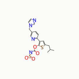 CC(C)Cc1cc(-c2ccc(Cn3ccnc3)cn2)c(OC(=O)N=S(=O)=O)s1